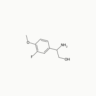 COc1ccc(C(N)CO)cc1F